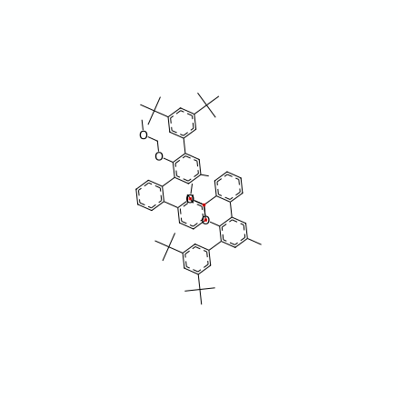 COCOc1c(-c2cc(C(C)(C)C)cc(C(C)(C)C)c2)cc(C)cc1-c1ccccc1-c1cccc(-c2ccccc2-c2cc(C)cc(-c3cc(C(C)(C)C)cc(C(C)(C)C)c3)c2OCOC)n1